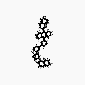 c1cc(-c2ccc3sc4cc5sc6ccc7ccccc7c6c5cc4c3c2)cc(-c2c3ccccc3c(-c3ccc4ccccc4c3)c3ccccc23)c1